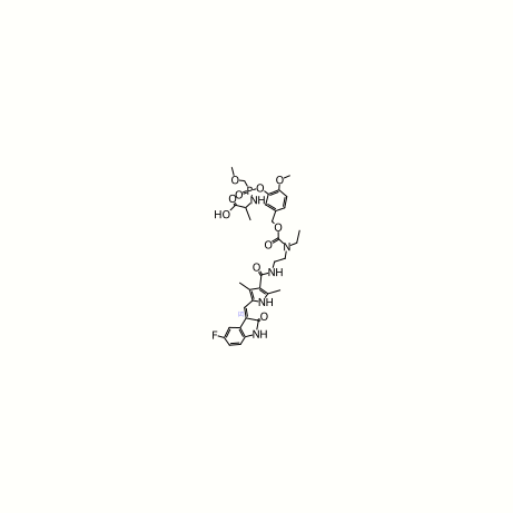 CCN(CCNC(=O)c1c(C)[nH]c(/C=C2\C(=O)Nc3ccc(F)cc32)c1C)C(=O)OCc1ccc(OC)c(OP(=O)(COC)NC(C)C(=O)O)c1